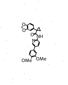 COc1ccc(-c2ccc(NC(=O)C3(c4ccc5c(c4)OCO5)CC3)nc2)cc1OC